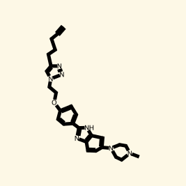 C#CCCCc1cn(CCOc2ccc(-c3nc4ccc(N5CCN(C)CC5)cc4[nH]3)cc2)nn1